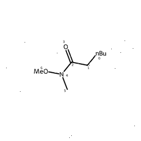 [CH2]CCC[CH]C(=O)N(C)OC